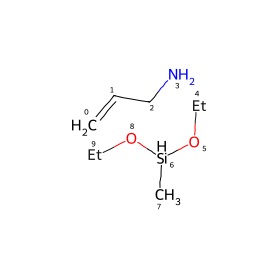 C=CCN.CCO[SiH](C)OCC